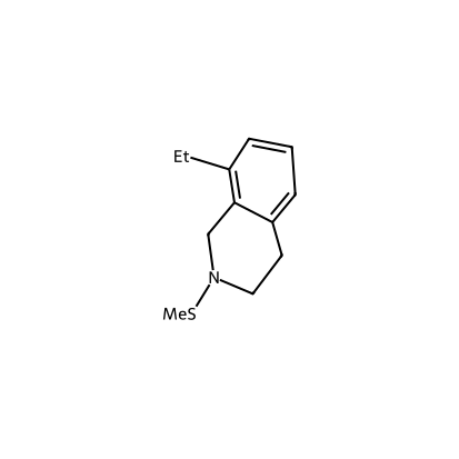 CCc1cccc2c1CN(SC)CC2